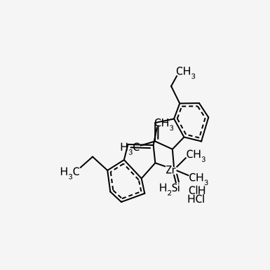 CCc1cccc2c1C=C(C)[CH]2[Zr]([CH3])([CH3])(=[SiH2])[CH]1C(C)=Cc2c(CC)cccc21.Cl.Cl